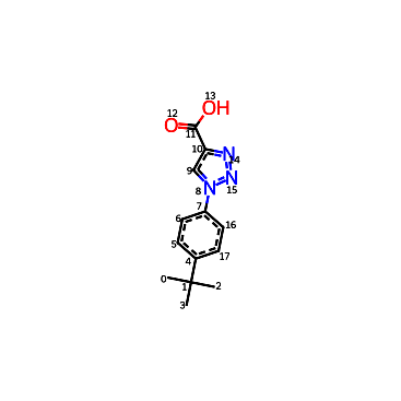 CC(C)(C)c1ccc(-n2cc(C(=O)O)nn2)cc1